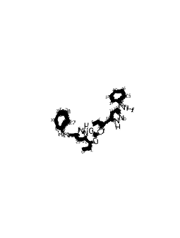 C=CC(OC(=O)OC(C=C)c1cc(Nc2ccccc2)n[nH]1)c1cc(Nc2ccccc2)n[nH]1